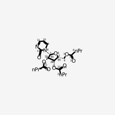 CCCC(=O)OC[C@H]1O[C@@H](n2cccnc2=O)[C@@H](OC(=O)CCC)[C@H]1OC(=O)CCC